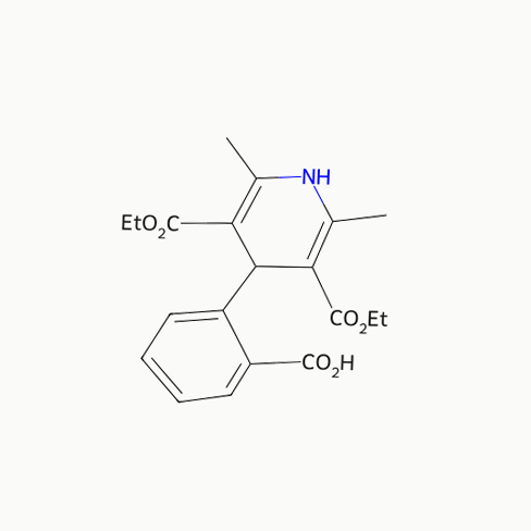 CCOC(=O)C1=C(C)NC(C)=C(C(=O)OCC)C1c1ccccc1C(=O)O